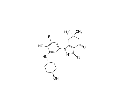 CCc1nn(-c2cc(F)c(C#N)c(N[C@H]3CC[C@H](O)CC3)c2)c2c1C(=O)CC(C)(C)C2